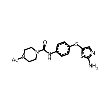 CC(=O)N1CCN(C(=O)Nc2ccc(Sc3cnc(N)s3)cc2)CC1